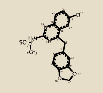 CS(=O)(=O)O.Nc1nc(Cc2ccc3c(c2)OCO3)c2cc(Cl)ccc2n1